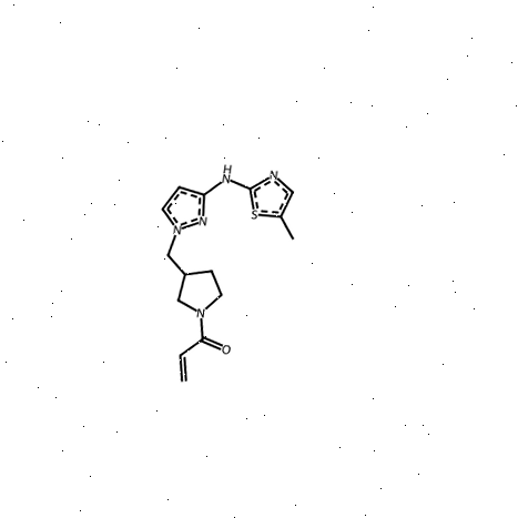 C=CC(=O)N1CCC(Cn2ccc(Nc3ncc(C)s3)n2)C1